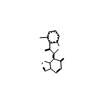 O=C1C=CC2C=NOC2/C1=C1/Nc2cccc(Cl)c2C1=O